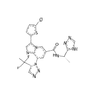 C[C@H](NC(=O)c1cc(-n2nncc2C(C)(F)F)c2ncc(-c3ccc(Cl)s3)n2c1)c1nnc[nH]1